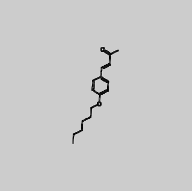 CCCCCCOc1ccc(C=CC(C)=O)cc1